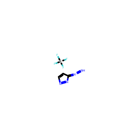 F[B-](F)(F)F.N=[N+]=C1C=CN=N1